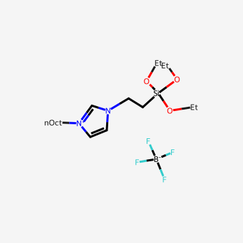 CCCCCCCC[n+]1ccn(CC[Si](OCC)(OCC)OCC)c1.F[B-](F)(F)F